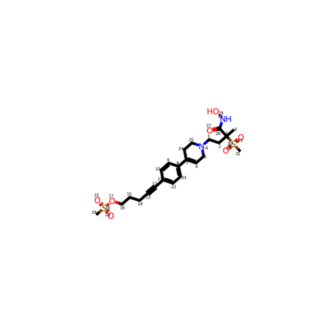 CC(CCN1CC=C(c2ccc(C#CCCCOS(C)(=O)=O)cc2)CC1)(C(=O)NO)S(C)(=O)=O